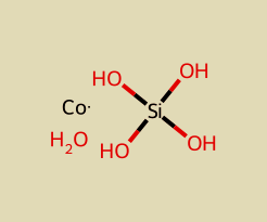 O.O[Si](O)(O)O.[Co]